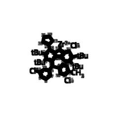 Cc1ccc(C(c2cccc(Cl)c2)=c2c(C(C)(C)C)c(C(C)(C)C)c(C3=CC=CC3)c3c2=c2cc(C(C)(C)C)c(C(C)(C)C)cc2=[C]3[Zr+2])cc1.[Cl-].[Cl-]